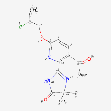 C=C(Cl)COc1ccc(C(=O)OC)c(C2=NC(C)(C(C)C)C(=O)N2)n1